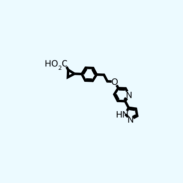 O=C(O)C1CC1c1ccc(CCOc2ccc(-c3ccn[nH]3)nc2)cc1